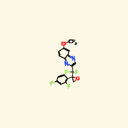 Fc1ccc(C2(C(F)(F)c3cnc4cc(OC(F)(F)F)ccc4n3)CO2)c(F)c1